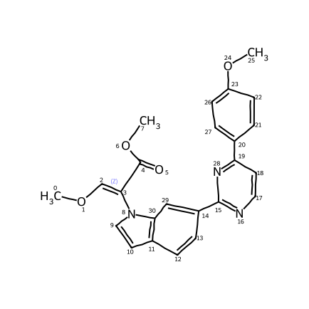 CO/C=C(/C(=O)OC)n1ccc2ccc(-c3nccc(-c4ccc(OC)cc4)n3)cc21